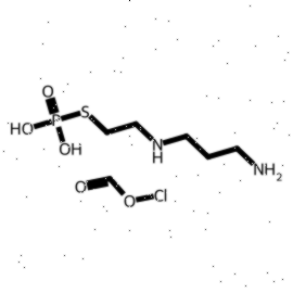 NCCCNCCSP(=O)(O)O.O=COCl